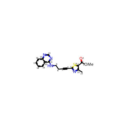 COC(=O)c1sc(C#CCCNc2ncnc3ccccc23)nc1C